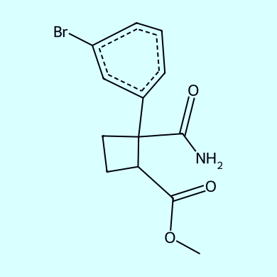 COC(=O)C1CCC1(C(N)=O)c1cccc(Br)c1